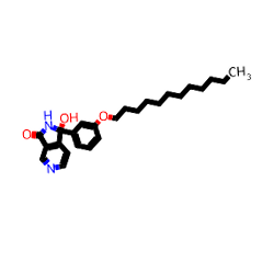 CCCCCCCCCCCCOc1cccc(C2(O)NC(=O)c3cnccc32)c1